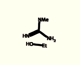 CCO.CNC(=N)N